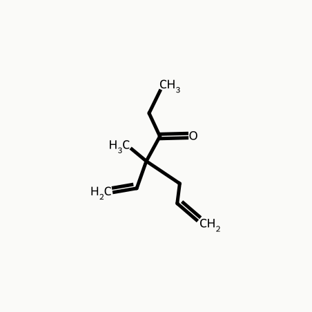 C=CCC(C)(C=C)C(=O)CC